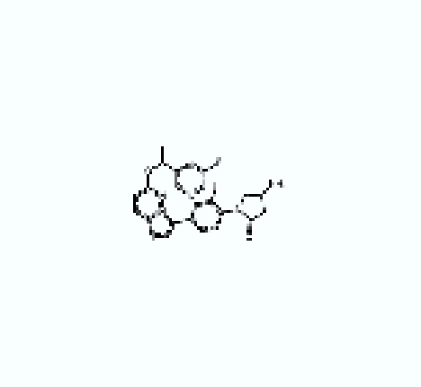 CC(Oc1ccc2ncc(-c3ccc(N4C[C@@H](N)CC4=O)c(F)c3)n2n1)c1cncc(F)c1